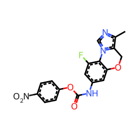 Cc1ncn2c1COc1cc(NC(=O)Oc3ccc([N+](=O)[O-])cc3)cc(F)c1-2